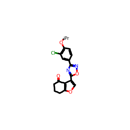 CC(C)Oc1ccc(-c2noc(-c3coc4c3C(=O)CCC4)n2)cc1Cl